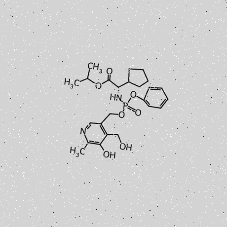 Cc1ncc(COP(=O)(N[C@H](C(=O)OC(C)C)C2CCCC2)Oc2ccccc2)c(CO)c1O